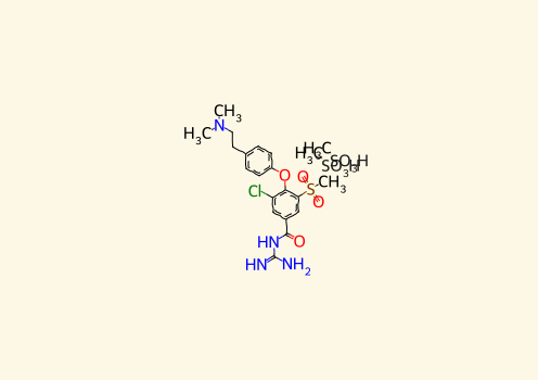 CN(C)CCc1ccc(Oc2c(Cl)cc(C(=O)NC(=N)N)cc2S(C)(=O)=O)cc1.CS(=O)(=O)O.CS(=O)(=O)O